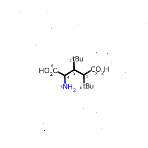 CC(C)(C)C(C(=O)O)C(C(N)C(=O)O)C(C)(C)C